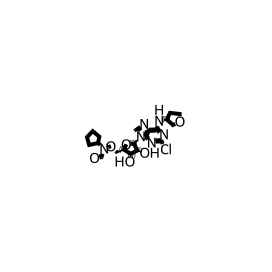 O=CN(OC[C@H]1O[C@@H](n2cnc3c(N[C@@H]4CCOC4)nc(Cl)nc32)[C@H](O)[C@@H]1O)C1CCCC1